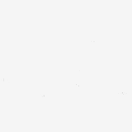 COc1ccc(-c2nc(COc3ccc(OCC(=O)O)c(C)c3)sc2-c2cccc(OC(F)(F)F)c2)cc1